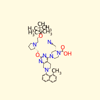 Cc1cccc2cccc(N3CCc4c(nc(OC[C@@H]5CCCN5CCO[Si](C)(C)C(C)(C)C)nc4N4CCN(C(=O)O)[C@@H](CC#N)C4)C3)c12